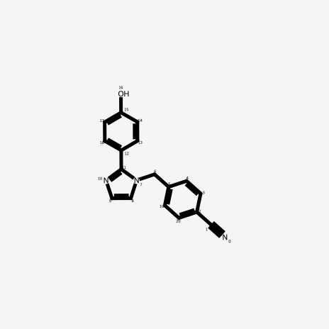 N#Cc1ccc(Cn2ccnc2-c2ccc(O)cc2)cc1